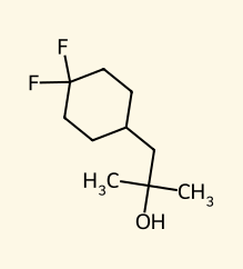 CC(C)(O)CC1CCC(F)(F)CC1